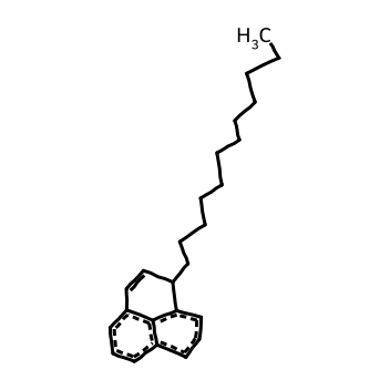 CCCCCCCCCCCCC1C=Cc2cccc3cccc1c23